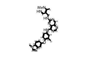 CN/C(C)=C(\C=N)CNc1ncc2ncnc(Nc3ccc(Oc4ccc5c(c4)ncn5C)c(C)c3)c2n1